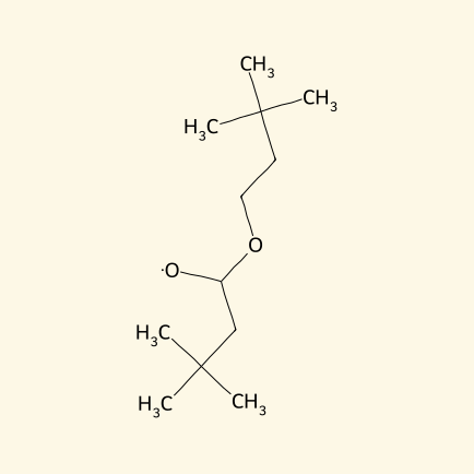 CC(C)(C)CCOC([O])CC(C)(C)C